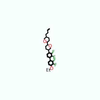 C=CCCC1CCC(C2CCC(c3ccc(-c4ccc(OCC)c(F)c4F)c(F)c3F)CO2)OC1